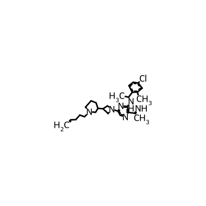 C=CCCCN1CCCC(C2CN(c3cnc(C(C)=N)c(NC(C)c4ccc(Cl)cc4C)n3)C2)C1